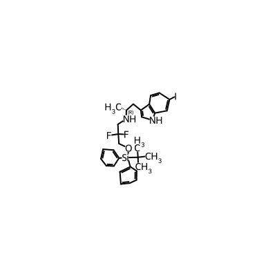 C[C@H](Cc1c[nH]c2cc(I)ccc12)NCC(F)(F)CO[Si](c1ccccc1)(c1ccccc1)C(C)(C)C